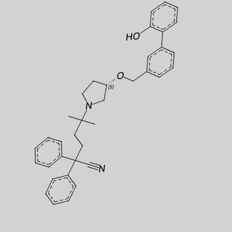 CC(C)(CCC(C#N)(c1ccccc1)c1ccccc1)N1CC[C@H](OCc2cccc(-c3ccccc3O)c2)C1